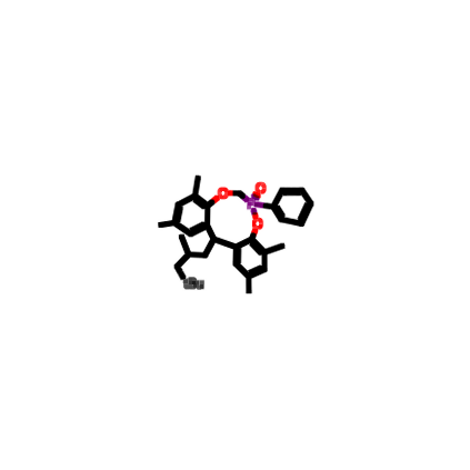 Cc1cc(C)c2c(c1)C(CC(C)CC(C)(C)C)c1cc(C)cc(C)c1OP(=O)(c1ccccc1)CO2